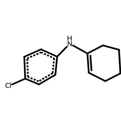 Clc1ccc(NC2=CCCCC2)cc1